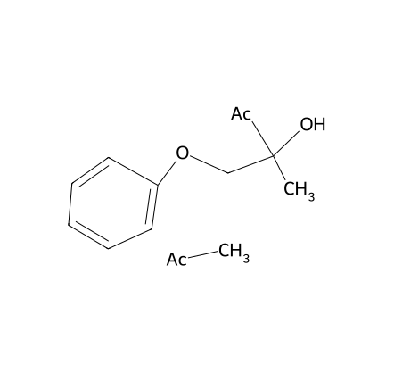 CC(=O)C(C)(O)COc1ccccc1.CC(C)=O